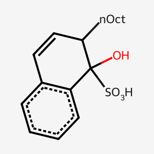 CCCCCCCCC1C=Cc2ccccc2C1(O)S(=O)(=O)O